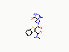 CN(C)C(=O)c1c(C(=O)N2CC3(C2)C(=O)NCN3C)sc2ccccc12